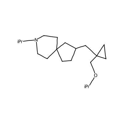 CC(C)OCC1(CC2CCC3(CCN(C(C)C)CC3)C2)CC1